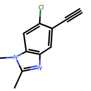 C#Cc1cc2nc(C)n(C)c2cc1Cl